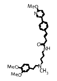 COc1ccc(-c2ccc(/C=C/CC(=O)NCCCCN(C)CCc3ccc(OC)c(OC)c3)cc2)cn1